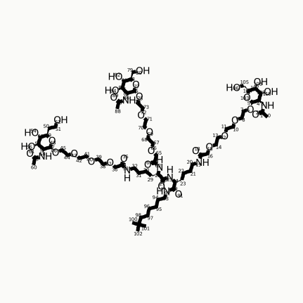 CC(=O)N[C@H]1[C@H](OCCOCCOCCOCC(=O)NCCCC[C@@H](NC(=O)[C@H](CCCCNC(=O)COCCOCCOCCO[C@@H]2O[C@H](CCO)[C@H](O)[C@H](O)[C@H]2NC(C)=O)NC(=O)COCCOCCOCCO[C@@H]2O[C@H](CO)[C@H](O)[C@H](O)[C@H]2NC(C)=O)C(=O)NCCCCCCC(C)(C)C)O[C@H](CO)[C@H](O)[C@@H]1O